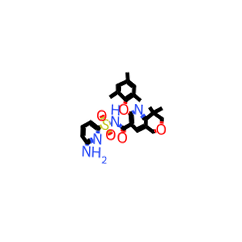 Cc1cc(C)c(Oc2nc3c(cc2C(=O)NS(=O)(=O)c2cccc(N)n2)COCC3(C)C)c(C)c1